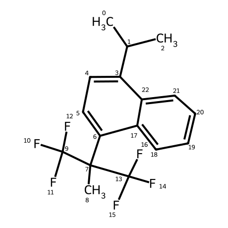 CC(C)c1ccc(C(C)(C(F)(F)F)C(F)(F)F)c2ccccc12